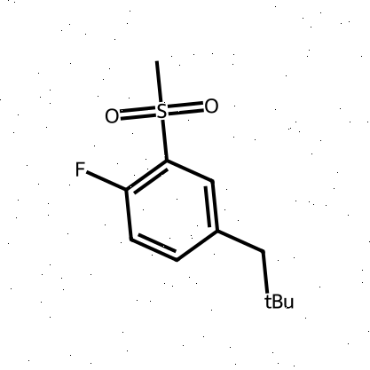 CC(C)(C)Cc1ccc(F)c(S(C)(=O)=O)c1